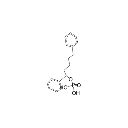 O=P(O)(O)OC(CCCCc1ccccc1)c1ccccc1